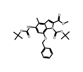 COC(=O)c1cc2c(C)c(NC(=O)OC(C)(C)C)cc(OCc3ccccc3)c2n1C(=O)OC(C)(C)C